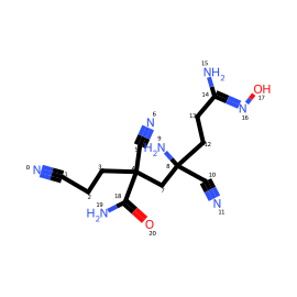 N#CCCC(C#N)(CC(N)(C#N)CCC(N)=NO)C(N)=O